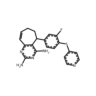 Nc1nc(N)c2c(n1)C=CCCC2c1ccc(Sc2ccncc2)c(F)c1